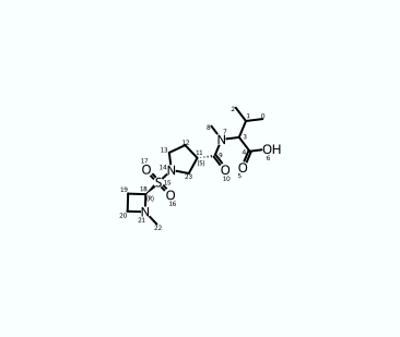 CC(C)C(C(=O)O)N(C)C(=O)[C@H]1CCN(S(=O)(=O)[C@@H]2CCN2C)C1